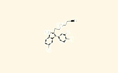 N#CCCNCCc1[nH]c2ccc(Cl)cc2c1-c1ccc(Cl)c(Cl)c1